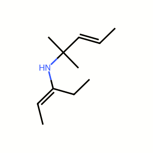 CC=CC(C)(C)N/C(=C/C)CC